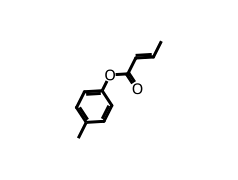 CC=CC(=O)Oc1ccc(C)cc1